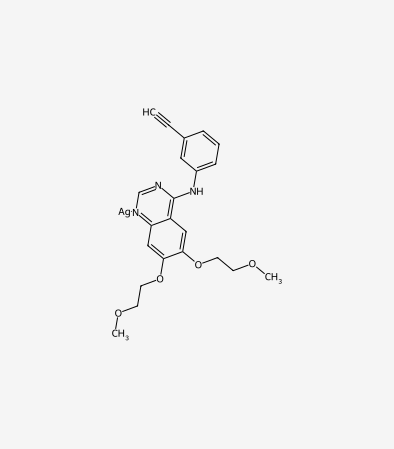 C#Cc1cccc(Nc2ncnc3cc(OCCOC)c(OCCOC)cc23)c1.[Ag]